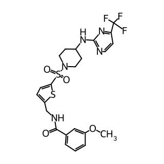 COc1cccc(C(=O)NCc2ccc(S(=O)(=O)N3CCC(Nc4nccc(C(F)(F)F)n4)CC3)s2)c1